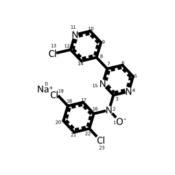 [Na+].[O-]N(c1nccc(-c2ccnc(Cl)c2)n1)c1cc(Cl)ccc1Cl